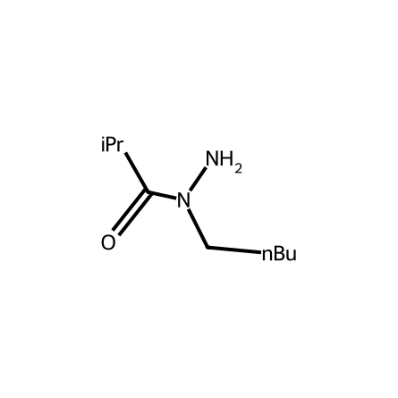 CCCCCN(N)C(=O)C(C)C